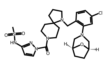 CS(=O)(=O)Nc1ccn(C(=O)N2CCC3(CCCN3Cc3ccc(Cl)cc3N3C[C@H]4CC[C@@H](C3)O4)CC2)n1